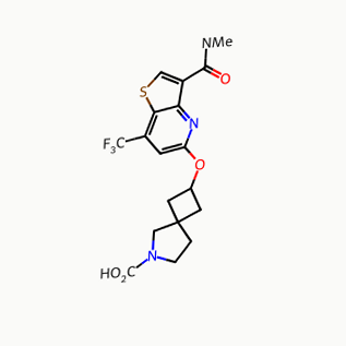 CNC(=O)c1csc2c(C(F)(F)F)cc(OC3CC4(CCN(C(=O)O)C4)C3)nc12